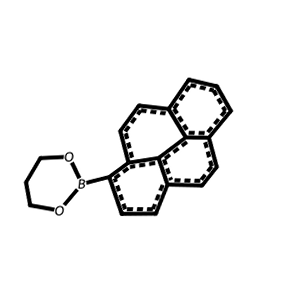 c1cc2ccc3ccc(B4OCCCO4)c4ccc(c1)c2c34